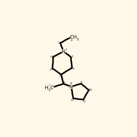 CCN1CCC(C(C)N2CCCC2)CC1